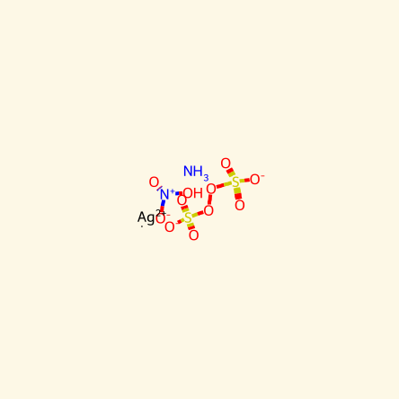 N.O=S(=O)([O-])OOS(=O)(=O)[O-].O=[N+]([O-])O.[Ag+2]